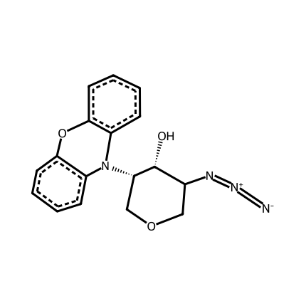 [N-]=[N+]=NC1COC[C@H](N2c3ccccc3Oc3ccccc32)[C@@H]1O